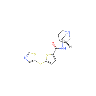 O=C(N[C@H]1CN2CCC1CC2)c1ccc(Sc2cncs2)s1